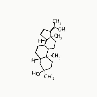 C/C(O)=C1\CC[C@H]2C3CC[C@H]4C[C@](C)(O)CC[C@]4(C)C3CC[C@]12C